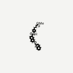 COC(=O)CCCc1ccc(NC(=O)c2ccc3ccc(OCc4ccc5ccccc5n4)cc3c2)cc1